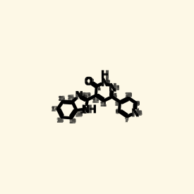 O=c1[nH]nc(-c2ccncc2)cc1-c1nc2ccccc2[nH]1